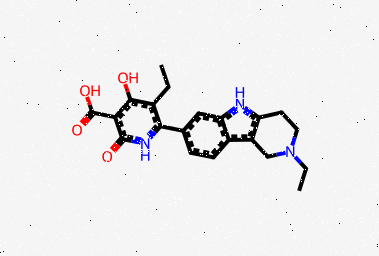 CCc1c(-c2ccc3c4c([nH]c3c2)CCN(CC)C4)[nH]c(=O)c(C(=O)O)c1O